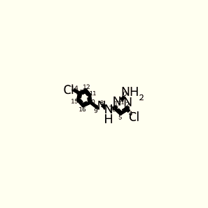 Nc1nc(Cl)cc(N/N=C/c2ccc(Cl)cc2)n1